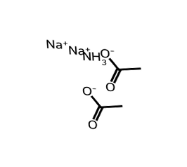 CC(=O)[O-].CC(=O)[O-].N.[Na+].[Na+]